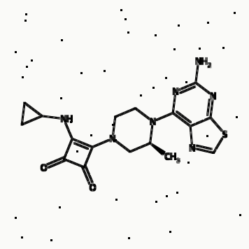 C[C@H]1CN(c2c(NC3CC3)c(=O)c2=O)CCN1c1nc(N)nc2scnc12